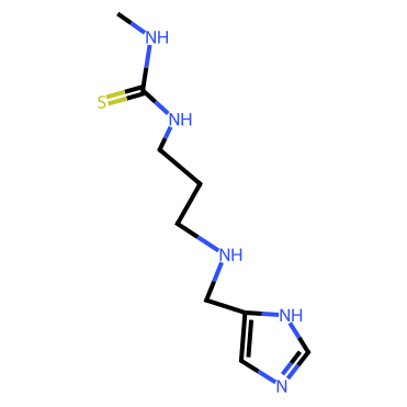 CNC(=S)NCCCNCc1cnc[nH]1